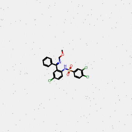 COC/N=C(\c1ccccc1)c1cc(Cl)ccc1NS(=O)(=O)c1ccc(Cl)c(Cl)c1